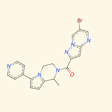 CC1c2ccc(-c3ccncc3)n2CCN1C(=O)c1cc2ncc(Br)cn2n1